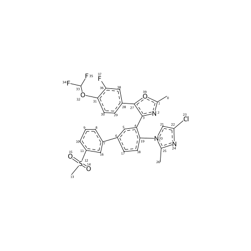 Cc1nc(-c2cc(-c3cccc(S(C)(=O)=O)c3)ccc2-n2cc(Cl)nc2C)c(-c2ccc(OC(F)F)c(F)c2)o1